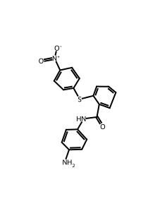 Nc1ccc(NC(=O)c2ccccc2Sc2ccc([N+](=O)[O-])cc2)cc1